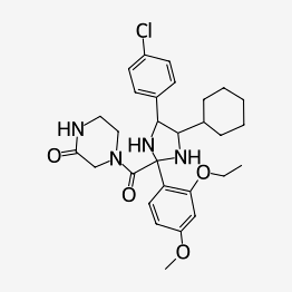 CCOc1cc(OC)ccc1C1(C(=O)N2CCNC(=O)C2)NC(c2ccc(Cl)cc2)C(C2CCCCC2)N1